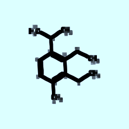 CCc1c(C)ccc(C(C)C)c1CC